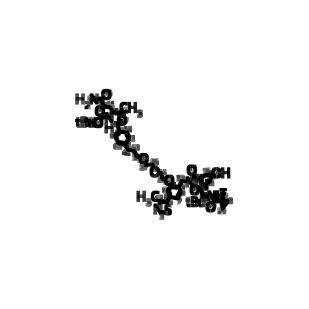 Cc1ncsc1-c1ccc(CNC(=O)[C@@H]2C[C@@H](O)CN2C(=O)[C@@H](NC(=O)C2(F)CC2)C(C)(C)C)c(OCCOCCOCCCc2ccc(CO[C@H](C)[C@H](CCC(N)=O)NC(=O)OC(C)(C)C)cc2)c1